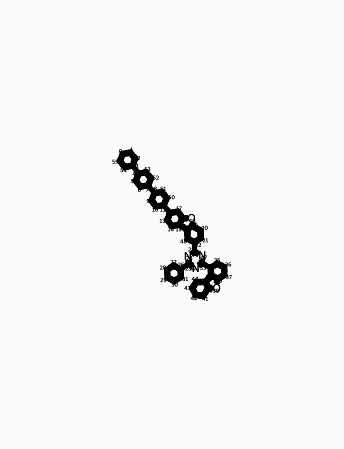 c1ccc(-c2ccc(-c3ccc(-c4ccc5c(c4)oc4ccc(-c6nc(-c7ccccc7)nc(-c7cccc8oc9ccccc9c78)n6)cc45)cc3)cc2)cc1